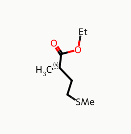 CCOC(=O)[C@@H](C)CCSC